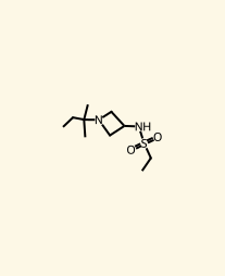 CCC(C)(C)N1CC(NS(=O)(=O)CC)C1